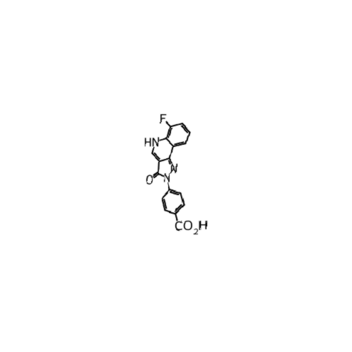 O=C(O)c1ccc(-n2nc3c4cccc(F)c4[nH]cc-3c2=O)cc1